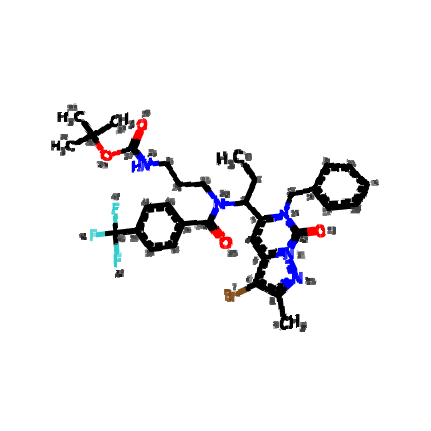 CCC(c1cc2c(Br)c(C)nn2c(=O)n1Cc1ccccc1)N(CCCNC(=O)OC(C)(C)C)C(=O)c1ccc(C(F)(F)F)cc1